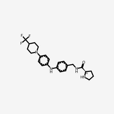 O=C(NCc1ccc(Nc2ccc(N3CCC(C(F)(F)F)CC3)cc2)cc1)[C@H]1CCCN1